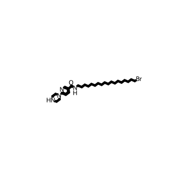 O=C(NCCCCCCCCCCCCCCCCCCBr)c1ccc(N2CCNCC2)nc1